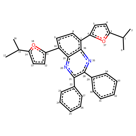 CC(C)c1ccc(-c2ccc(-c3ccc(C(C)C)o3)c3nc(-c4ccccc4)c(-c4ccccc4)nc23)o1